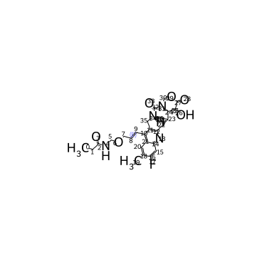 CCC(=O)NCOC/C=C/c1c2c(nc3cc(F)c(C)cc13)C1=C3C4[C@H](O)C(=O)OCN4C(=O)N(C2)[C@H]13